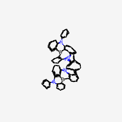 c1ccc(N2c3ccccc3B3c4c2cccc4-n2c4c3cccc4c3ccc4c5ccc6c7c5n(c4c32)-c2ccccc2B7c2ccccc2N6c2ccccc2)cc1